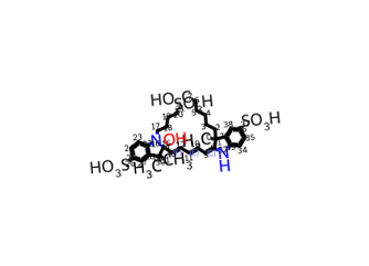 CC1(CCCCCC(=O)O)\C(=C/C=C/C=C/C2(O)N(CCCCS(=O)(=O)O)c3ccc(S(=O)(=O)O)cc3C2(C)C)Nc2ccc(S(=O)(=O)O)cc21